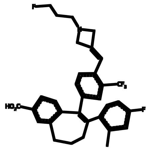 Cc1cc(F)ccc1C1=C(c2ccc(C=C3CN(CCCF)C3)c(C(F)(F)F)c2)c2ccc(C(=O)O)cc2CCC1